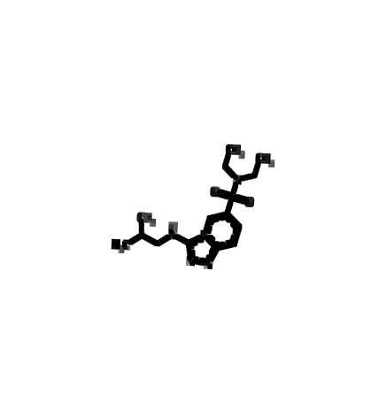 CCN(CC)S(=O)(=O)c1ccc2nnc(NCC(C)C)n2c1